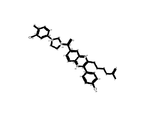 C=C(C)CCCCc1nc2cc(C(=C)N3CCN(c4ccc(C)c(Cl)c4)C3)ccc2nc1-c1ccc(Cl)cc1